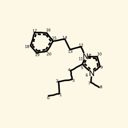 CCCCCc1n(CC)cc[n+]1CCCc1ccccc1